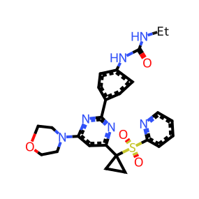 CCNC(=O)Nc1ccc(-c2nc(N3CCOCC3)cc(C3(S(=O)(=O)c4ccccn4)CC3)n2)cc1